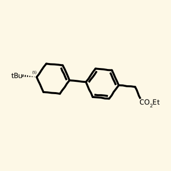 CCOC(=O)Cc1ccc(C2=CC[C@@H](C(C)(C)C)CC2)cc1